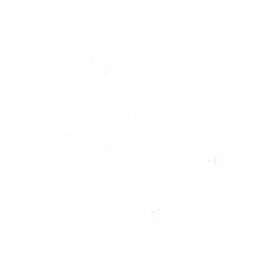 C=Cc1ccc(Cl)cc1.O=S=Cc1ccc(Cl)cc1